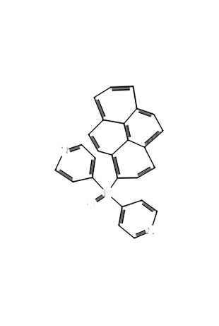 O=P(c1ccncc1)(c1ccncc1)c1ccc2ccc3cccc4ccc1c2c34